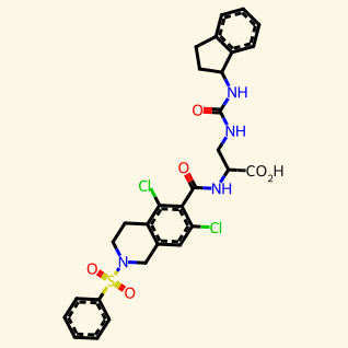 O=C(NCC(NC(=O)c1c(Cl)cc2c(c1Cl)CCN(S(=O)(=O)c1ccccc1)C2)C(=O)O)NC1CCc2ccccc21